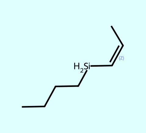 C/C=C\[SiH2]CCCC